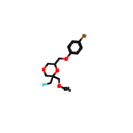 COCC1(CF)COCC(COc2ccc(Br)cc2)O1